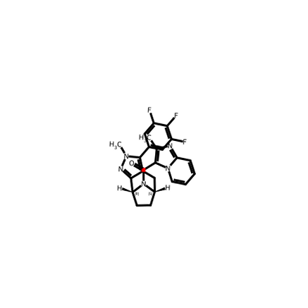 Cc1nc2ccccn2c1C(=O)N1[C@H]2CC[C@@H]1c1nn(C)c(-c3cc(F)c(F)c(F)c3)c1C2